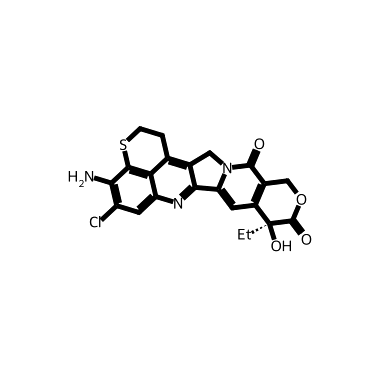 CC[C@@]1(O)C(=O)OCc2c1cc1n(c2=O)Cc2c-1nc1cc(Cl)c(N)c3c1c2CCS3